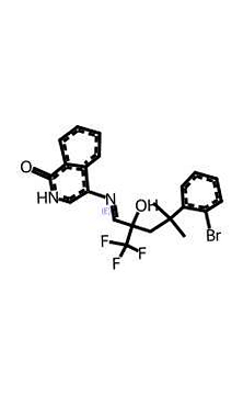 CC(C)(CC(O)(/C=N/c1c[nH]c(=O)c2ccccc12)C(F)(F)F)c1ccccc1Br